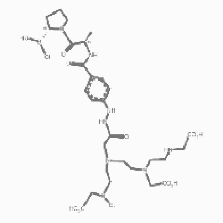 CCN(CCN(CCN(CCNCC(=O)O)CC(=O)O)CC(=O)NNc1ccc(C(=O)N[C@H](C)C(=O)N2CCC[C@H]2B(O)O)cc1)CC(=O)O